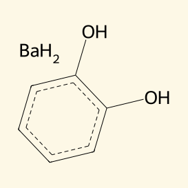 Oc1ccccc1O.[BaH2]